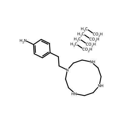 CC(=O)O.CC(=O)O.CC(=O)O.CC(=O)O.Nc1ccc(CCN2CCNCCNCCNCC2)cc1